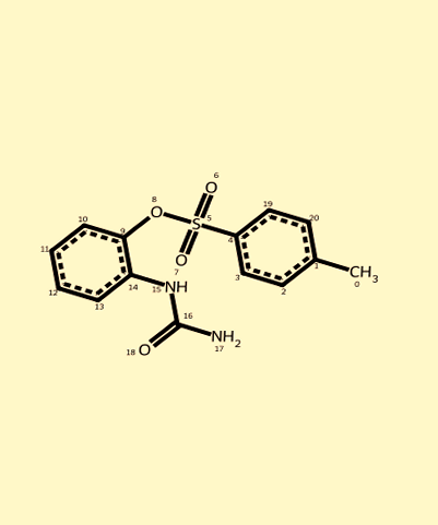 Cc1ccc(S(=O)(=O)Oc2ccccc2NC(N)=O)cc1